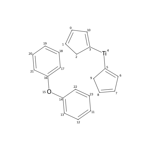 C1=CC[C]([Ti][C]2=CC=CC2)=C1.c1ccc(Oc2ccccc2)cc1